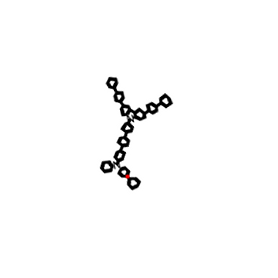 c1ccc(-c2ccc(-c3ccc4c(c3)c3cc(-c5ccc(-c6ccccc6)cc5)ccc3n4-c3ccc(-c4ccc(-c5ccc(N(c6ccccc6)c6ccc(-c7ccccc7)cc6)cc5)cc4)cc3)cc2)cc1